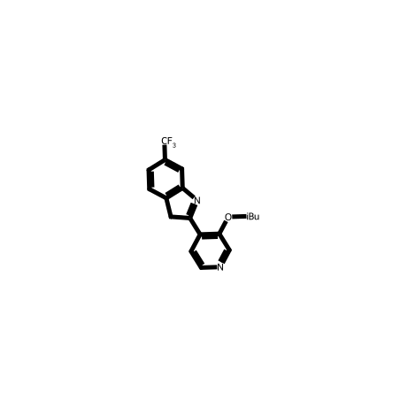 CCC(C)Oc1cnccc1C1=Nc2cc(C(F)(F)F)ccc2C1